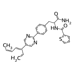 C=C/C(=C\C=C/C)c1cnc(-c2ccc(CC(NC(=O)c3cccs3)C(N)=O)cc2)nc1